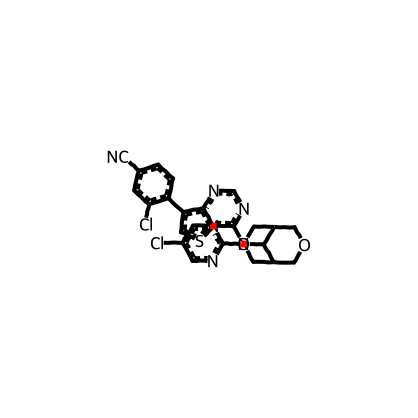 N#Cc1ccc(-c2csc3c(OC4C5COCC4CN(c4ncc(Cl)cn4)C5)ncnc23)c(Cl)c1